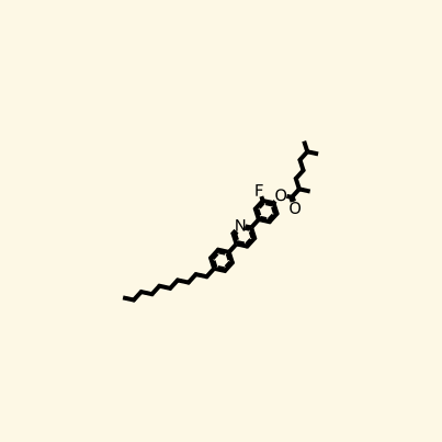 CCCCCCCCCCc1ccc(-c2ccc(-c3ccc(OC(=O)C(C)CCCC(C)C)c(F)c3)nc2)cc1